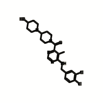 Cc1c(NCc2ccc(Cl)c(Cl)c2)ncnc1C(=O)N1CCC(N2CCC(O)CC2)CC1